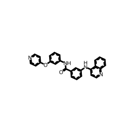 O=C(Nc1cccc(Oc2ccncc2)c1)c1cccc(Nc2ccnc3ccccc23)c1